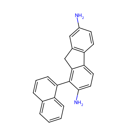 Nc1ccc2c(c1)Cc1c-2ccc(N)c1-c1cccc2ccccc12